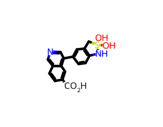 O=C(O)c1ccc2cncc(-c3ccc4c(c3)CS(O)(O)N4)c2c1